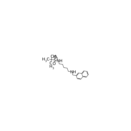 CC(C)(C)S(=O)(=O)NCCCCCNCc1ccc2ccccc2c1